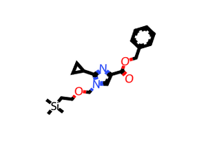 C[Si](C)(C)CCOCn1cc(C(=O)OCc2ccccc2)nc1C1CC1